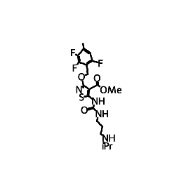 COC(=O)c1c(OCc2c(F)cc(C)c(F)c2F)nsc1NC(=O)NCCCNC(C)C